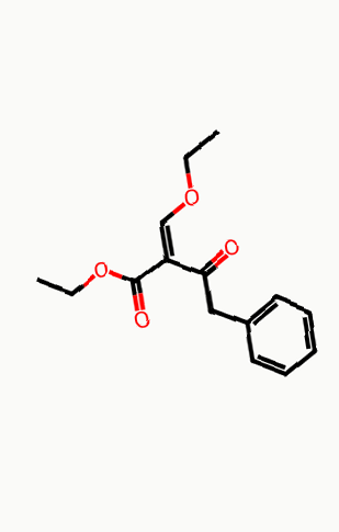 CCO/C=C(\C(=O)Cc1ccccc1)C(=O)OCC